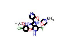 COc1c(Cl)cccc1Nc1c(-c2ccncc2OC[C@@H]2CN(C)CCO2)[nH]c2c1C(=O)NC[C@@H]2CF